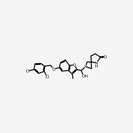 Cc1c(C(O)N2CC3(CCC(=O)N3)C2)oc2ccc(OCc3ccc(Cl)cc3Cl)cc12